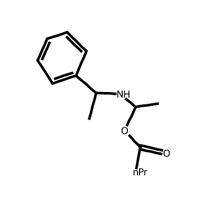 CCCC(=O)OC(C)NC(C)c1ccccc1